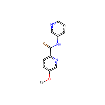 CCOc1ccc(C(=S)Nc2cccnc2)nc1